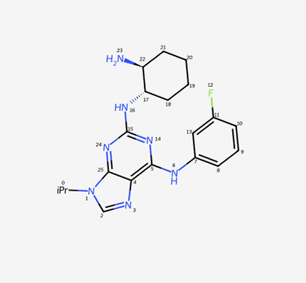 CC(C)n1cnc2c(Nc3cccc(F)c3)nc(N[C@H]3CCCC[C@@H]3N)nc21